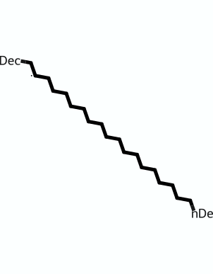 CCCCCCCCCCC[CH]CCCCCCCCCCCCCCCCCCCCCCCCCCC